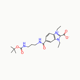 CCn1c(C(=O)[O-])[n+](CC)c2ccc(C(=O)NCCCNC(=O)OC(C)(C)C)cc21